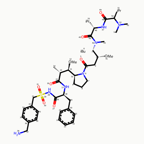 CC[C@H](C)[C@@H]([C@@H](CC(=O)N1CCC[C@H]1[C@H](OC)[C@@H](C)C(=O)N[C@@H](Cc1ccccc1)C(=O)NS(=O)(=O)Cc1ccc(CN)cc1)OC)N(C)C(=O)[C@@H](NC(=O)C(C(C)C)N(C)C)C(C)C